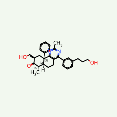 Cc1nc(-c2cccc(CCCO)c2)c2c(n1)[C@@]1(c3ccccc3)CC(=CO)C(=O)[C@@H](C)[C@@H]1CC2